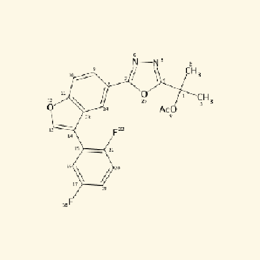 CC(=O)OC(C)(C)c1nnc(-c2ccc3occ(-c4cc(F)ccc4F)c3c2)o1